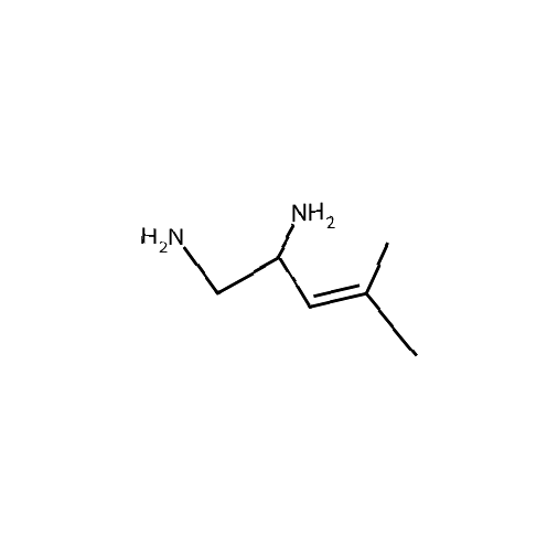 CC(C)=CC(N)CN